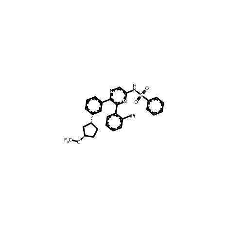 CC(C)c1ccccc1-c1nc(NS(=O)(=O)c2ccccc2)cnc1-c1cccc([C@@H]2CC[C@@H](OC(F)(F)F)C2)c1